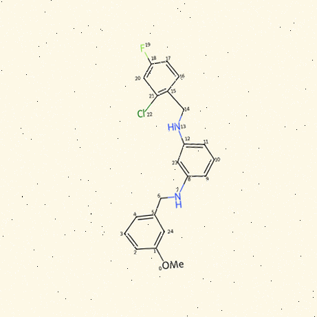 COc1cccc(CNc2cccc(NCc3ccc(F)cc3Cl)c2)c1